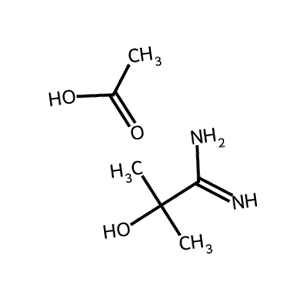 CC(=O)O.CC(C)(O)C(=N)N